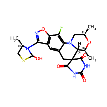 C[C@@H]1CN2c3c(cc4c(N5C(O)SC[C@H]5C)noc4c3F)CC3(C(=O)NC(=O)NC3=O)[C@H]2[C@H](C)O1